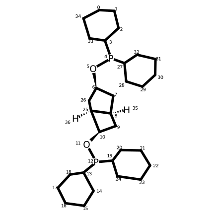 C1CCC(P(O[C@H]2C[C@H]3C[C@@H](OP(C4CCCCC4)C4CCCCC4)[C@H]3C2)C2CCCCC2)CC1